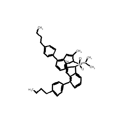 CCCCc1ccc(-c2cccc3c2C=C(C)[CH]3[Zr]([Cl])([Cl])([CH]2C(C)=Cc3c(-c4ccc(CCCC)cc4)cccc32)[SiH](C)C)cc1